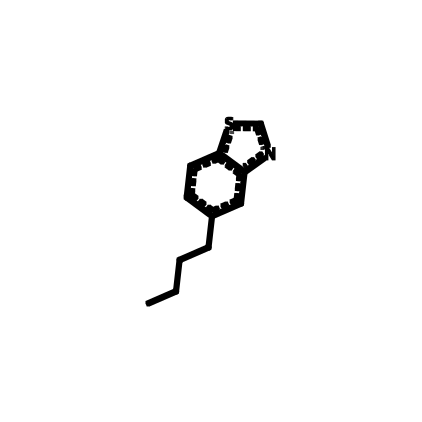 CCCCc1ccc2scnc2c1